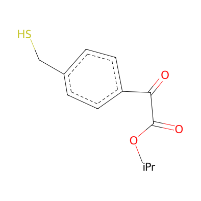 CC(C)OC(=O)C(=O)c1ccc(CS)cc1